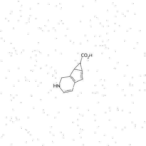 O=C(O)C1C2=CC3=C(CNC=C3)C21